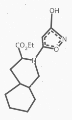 CCOC(=O)C1CC2CCCCC2CN1c1cc(O)no1